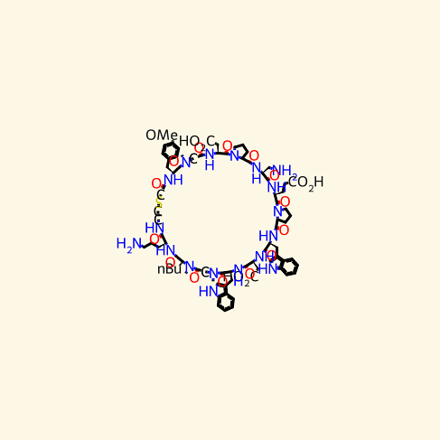 CCCC[C@H]1C(=O)N[C@@H](CCCN)C(=O)NCCSCC(=O)N[C@@H](Cc2ccc(OC)cc2)C(=O)N(C)CC(=O)N[C@@H](CC(=O)O)C(=O)N2CCCC2C(=O)N[C@@H](CN)C(=O)N[C@@H](CCC(=O)O)C(=O)N2CCCC2C(=O)N[C@@H](Cc2c[nH]c3ccccc23)C(=O)N[C@@H](CC(=O)O)C(=O)N[C@@H](Cc2c[nH]c3ccccc23)C(=O)N(C)CC(=O)N1C